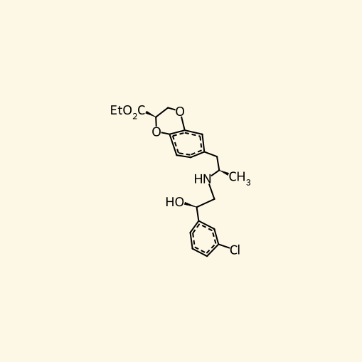 CCOC(=O)[C@H]1COc2cc(C[C@@H](C)NC[C@H](O)c3cccc(Cl)c3)ccc2O1